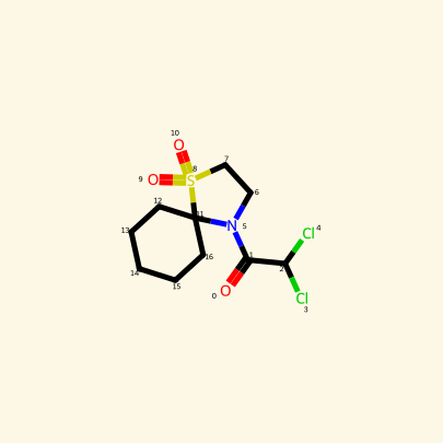 O=C(C(Cl)Cl)N1CCS(=O)(=O)C12CCCCC2